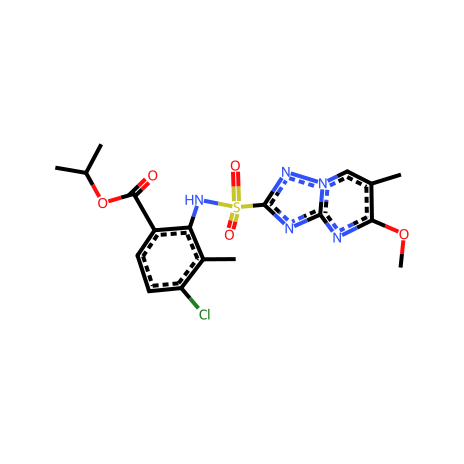 COc1nc2nc(S(=O)(=O)Nc3c(C(=O)OC(C)C)ccc(Cl)c3C)nn2cc1C